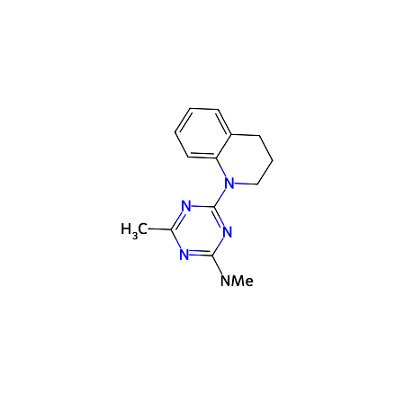 CNc1nc(C)nc(N2CCCc3ccccc32)n1